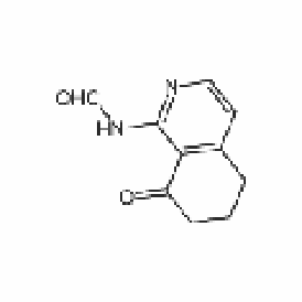 O=CNc1nccc2c1C(=O)CCC2